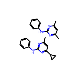 Cc1cc(C)nc(Nc2ccccc2)n1.Cc1cc(C2CC2)nc(Nc2ccccc2)n1